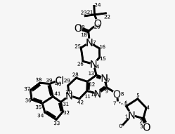 CN1C(=O)CC[C@H]1COc1nc2c(c(N3CCN(C(=O)OC(C)(C)C)CC3)n1)CCN(c1cccc3cccc(Cl)c13)C2